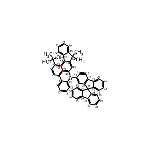 CC(O)(O)c1ccc(-c2ccccc2N(c2c#cc3c(c2)C2(c4ccccc4-3)c3ccccc3-c3ccccc32)c2ccc3c(c2)C(C)(C)c2ccccc2-3)cc1